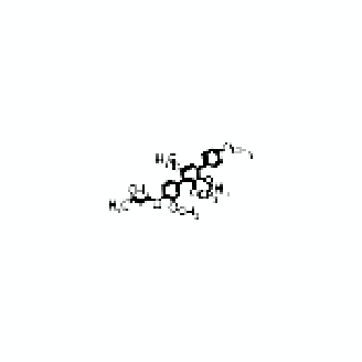 COc1ccc(-c2cc(OC)c(-c3ccc(OCC=C(C)C)c(OC)c3)c(OC)c2OC)cc1